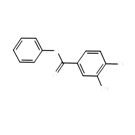 Cc1cc(C(=O)Oc2ccccc2)ccc1Cl